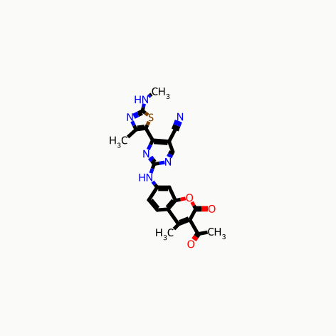 CNc1nc(C)c(-c2nc(Nc3ccc4c(C)c(C(C)=O)c(=O)oc4c3)ncc2C#N)s1